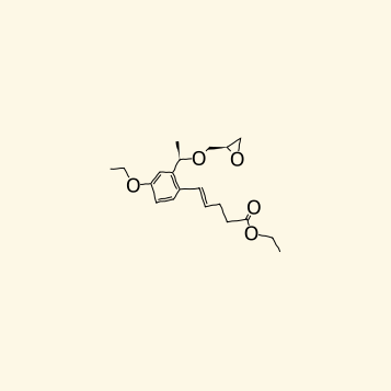 CCOC(=O)CC/C=C/c1ccc(OCC)cc1[C@@H](C)OC[C@H]1CO1